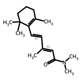 CC1=C(/C=C/C(C)=C/C(=O)N(C)C)C(C)(C)CCC1